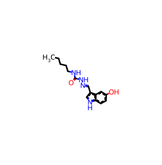 CCCCCNC(=O)N/N=C/c1c[nH]c2ccc(O)cc12